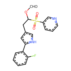 O=COC(Cc1c[nH]c(-c2ccccc2F)c1)S(=O)(=O)c1cccnc1